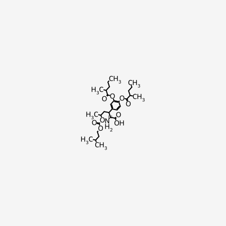 CCCC(C)C(=O)Oc1ccc(C(CC(C)OC(=O)OCCC(C)C)[C@H](N)C(=O)O)cc1OC(=O)C(C)CCC